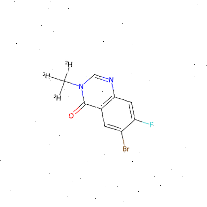 [2H]C([2H])([2H])n1cnc2cc(F)c(Br)cc2c1=O